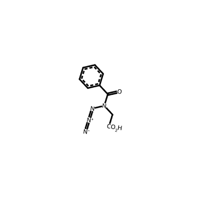 [N-]=[N+]=NN(CC(=O)O)C(=O)c1ccccc1